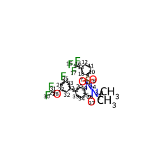 CC(C)N1CN(S(=O)(=O)c2cccc(C(F)(F)F)c2)c2cc(-c3cc(F)cc(OC(F)F)c3)ccc2C1=O